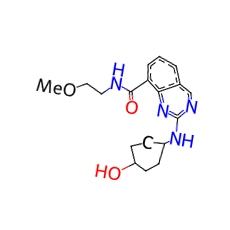 COCCNC(=O)c1cccc2cnc(NC3CCC(O)CC3)nc12